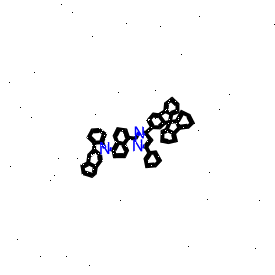 c1ccc(-c2cc(-c3ccc4c(c3)C3(c5ccccc5-c5ccccc53)c3ccccc3-4)nc(-c3cccc4c(-n5c6ccccc6c6cc7ccccc7cc65)cccc34)n2)cc1